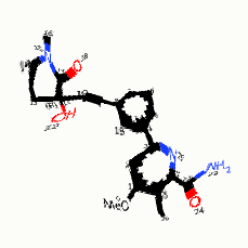 COc1cc(-c2cccc(C#C[C@]3(O)CCN(C)C3=O)c2)nc(C(N)=O)c1C